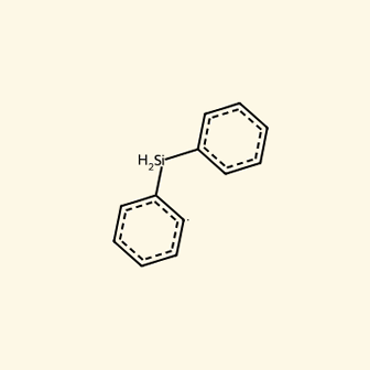 [c]1ccccc1[SiH2]c1ccccc1